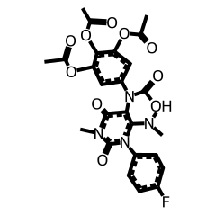 CC(=O)Oc1cc(N(C(=O)O)c2c(N(C)C)n(-c3ccc(F)cc3)c(=O)n(C)c2=O)cc(OC(C)=O)c1OC(C)=O